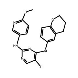 COc1ccc(Nc2ncc(F)c(Nc3ccc4c(c3)CCCO4)n2)cn1